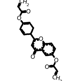 C=CC(=O)OC1=CCC(c2cc(=O)c3cc(OC(=O)C=C)ccc3o2)C=C1